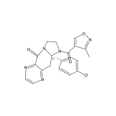 Cc1nocc1C(=O)N1CCN2C(=O)c3nccnc3C[C@]12c1ccc(Cl)cc1